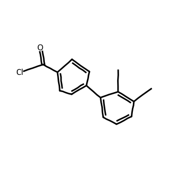 Cc1cccc(-c2ccc(C(=O)Cl)cc2)c1C